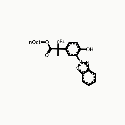 CCCCCCCCOC(=O)C(C)(CCCC)c1ccc(O)c(-n2nc3ccccc3n2)c1